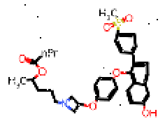 CCCC(=O)OC(C)CCCN1CC(Oc2ccc(Oc3c(-c4ccc(S(C)(=O)=O)cc4)ccc4cc(O)ccc34)cc2)C1